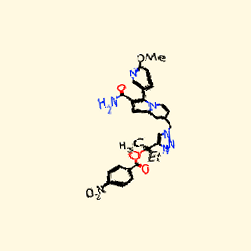 CCC(C)(OC(=O)c1ccc([N+](=O)[O-])cc1)c1cn(Cc2ccn3c(-c4ccc(OC)nc4)c(C(N)=O)cc3c2)nn1